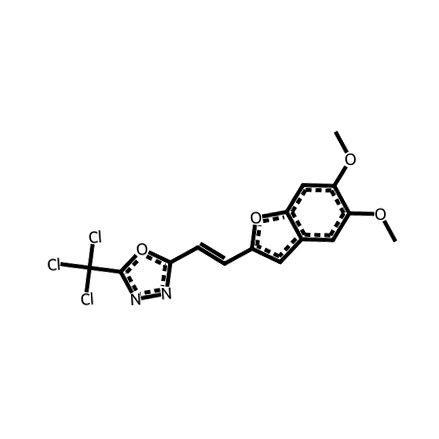 COc1cc2cc(C=Cc3nnc(C(Cl)(Cl)Cl)o3)oc2cc1OC